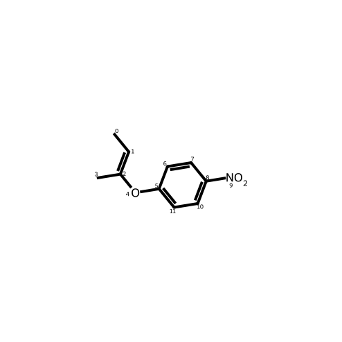 CC=C(C)Oc1ccc([N+](=O)[O-])cc1